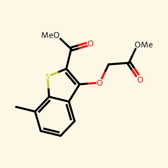 COC(=O)COc1c(C(=O)OC)sc2c(C)cccc12